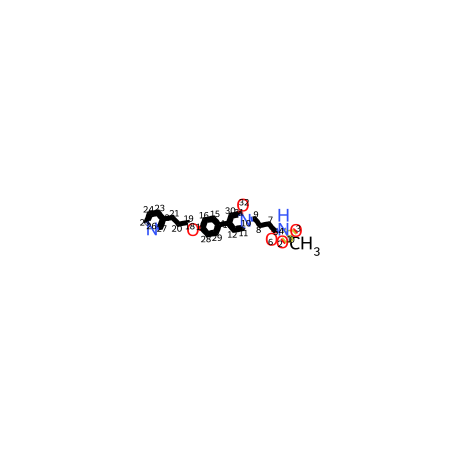 CS(=O)(=O)NC(=O)CCCn1ccc(-c2ccc(OCCCc3cccnc3)cc2)cc1=O